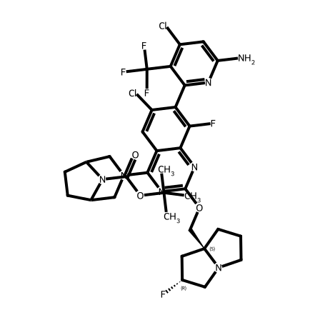 CC(C)(C)OC(=O)N1C2CCC1CN(c1nc(OC[C@@]34CCCN3C[C@H](F)C4)nc3c(F)c(-c4nc(N)cc(Cl)c4C(F)(F)F)c(Cl)cc13)C2